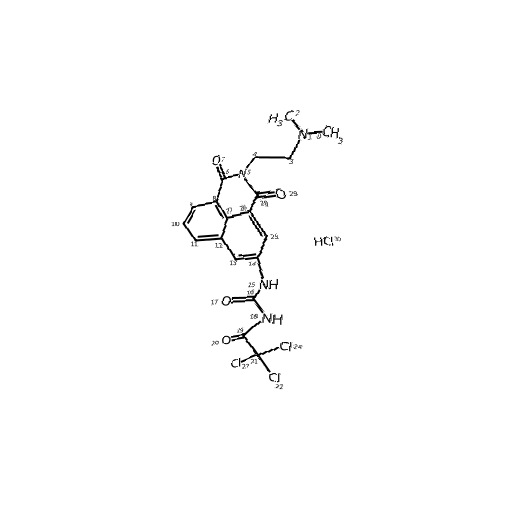 CN(C)CCN1C(=O)c2cccc3cc(NC(=O)NC(=O)C(Cl)(Cl)Cl)cc(c23)C1=O.Cl